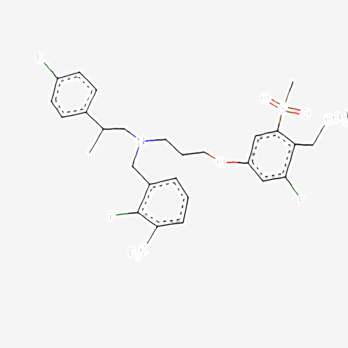 CC(CN(CCCOc1cc(F)c(CC(=O)O)c(S(C)(=O)=O)c1)Cc1cccc(C(F)(F)F)c1F)c1ccc(F)cc1